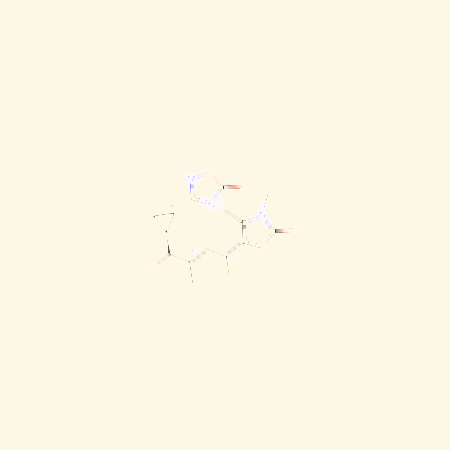 C=c1/c(=C(Cl)\C=C(/C)C(=O)[C@H]2C[C@@H]2c2noc(=O)[nH]2)oc(=O)n1C